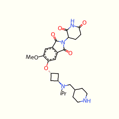 COc1cc2c(cc1O[C@H]1C[C@H](N(CC3CCNCC3)C(C)C)C1)C(=O)N(C1CCC(=O)NC1=O)C2=O